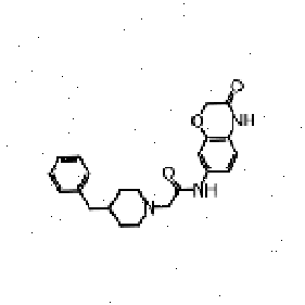 O=C(CN1CCC(Cc2ccccc2)CC1)Nc1ccc2c(c1)OCC(=O)N2